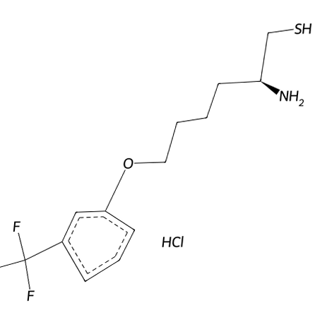 Cl.N[C@H](CS)CCCCOc1cccc(C(F)(F)F)c1